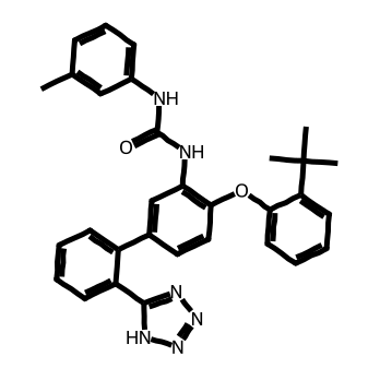 Cc1cccc(NC(=O)Nc2cc(-c3ccccc3-c3nnn[nH]3)ccc2Oc2ccccc2C(C)(C)C)c1